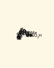 COc1nc(-c2ccc(F)c(-c3c(F)ccc(NC(=O)c4ccnn(C)c4=O)c3C)c2Cl)cc2c1C(N1CC(C(=O)O)C1)CC2